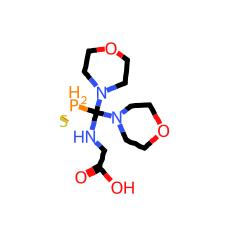 O=C(O)CNC([PH2]=S)(N1CCOCC1)N1CCOCC1